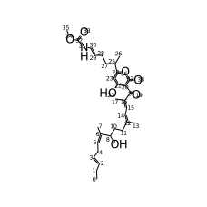 CC/C=C/C/C=C(/C)C(O)CC/C(C)=C/C=C(\C)C(=O)c1c(O)cc(C(C)CC/C=C/NC(=O)OC)oc1=O